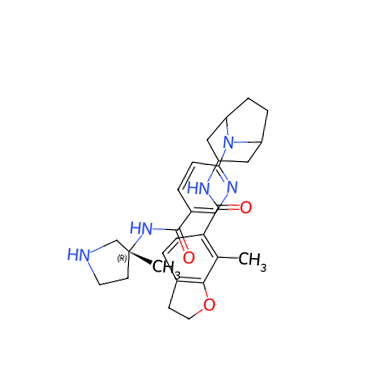 Cc1c(C(=O)NC2CC3CCC(C2)N3c2ccc(C(=O)N[C@]3(C)CCNC3)cn2)ccc2c1OCC2